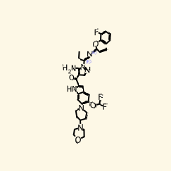 C=C/C(=N\C=C(/CC)n1ncc(C(=O)c2cc3cc(OC(F)F)c(N4CCC(N5CCOCC5)CC4)cc3[nH]2)c1N)Oc1ccccc1F